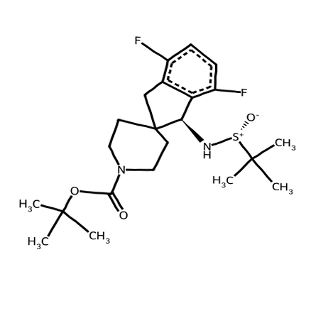 CC(C)(C)OC(=O)N1CCC2(CC1)Cc1c(F)ccc(F)c1[C@H]2N[S@+]([O-])C(C)(C)C